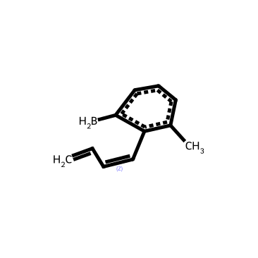 Bc1cccc(C)c1/C=C\C=C